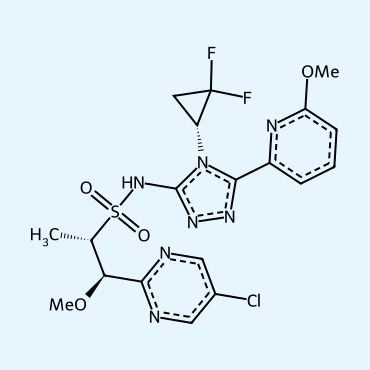 COc1cccc(-c2nnc(NS(=O)(=O)[C@@H](C)[C@H](OC)c3ncc(Cl)cn3)n2[C@@H]2CC2(F)F)n1